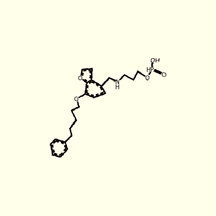 O=[PH](O)OCCCNCc1ccc(OCCCCCc2ccccc2)c2occc12